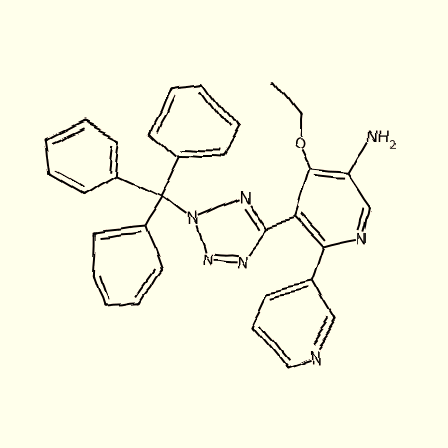 CCOc1c(N)cnc(-c2cccnc2)c1-c1nnn(C(c2ccccc2)(c2ccccc2)c2ccccc2)n1